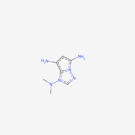 CN(C)n1cnn2c(N)cc(N)c12